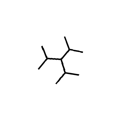 CC(C)[C](C(C)C)C(C)C